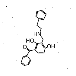 O=C(c1ccccc1)c1ccc(O)c(CNCCc2ccccc2)c1O